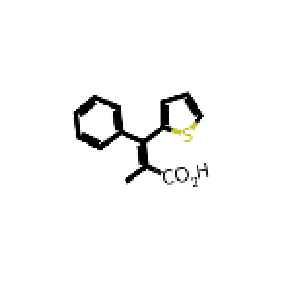 CC(C(=O)O)=C(c1ccccc1)c1cccs1